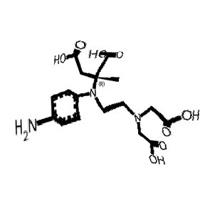 C[C@@](CC(=O)O)(C(=O)O)N(CCN(CC(=O)O)CC(=O)O)c1ccc(N)cc1